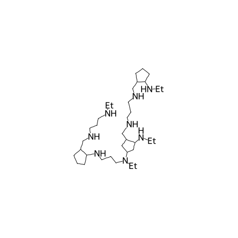 CCNCCCNCC1CCCC1NCCCN(CC)C1CC(CNCCCNCC2CCCC2NCC)C(NCC)C1